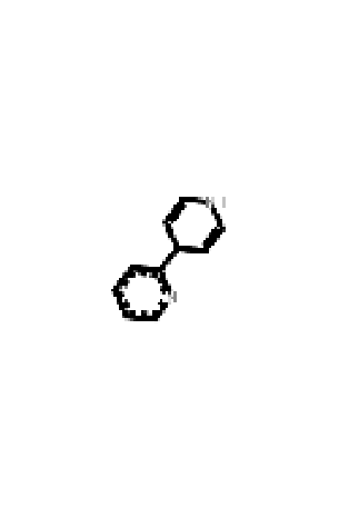 C1=CC(c2ccccn2)C=CN1